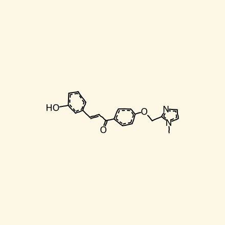 Cn1ccnc1COc1ccc(C(=O)/C=C/c2cccc(O)c2)cc1